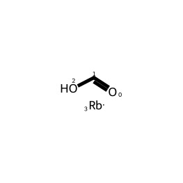 O=CO.[Rb]